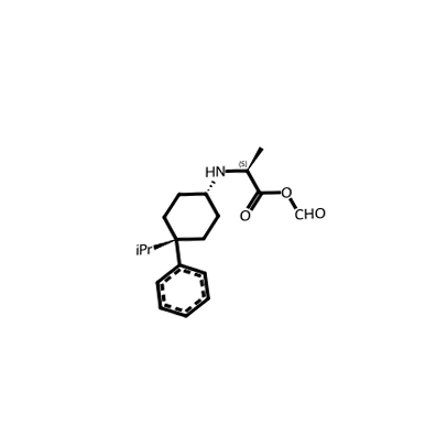 CC(C)[C@]1(c2ccccc2)CC[C@@H](N[C@@H](C)C(=O)OC=O)CC1